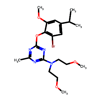 COCCN(CCOC)c1nc(C)nc(Oc2c(Br)cc(C(C)C)cc2OC)n1